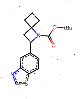 CC(C)(C)OC(=O)N1C(c2ccc3scnc3c2)CC12CCC2